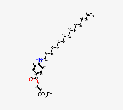 CCOC(=O)C=COC(=O)c1ccc(NCCCCCCCCCCCCCCCC(F)(F)F)cc1